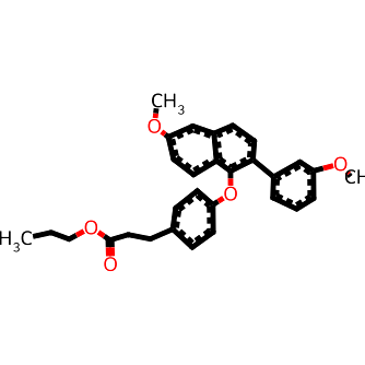 CCCOC(=O)CCc1ccc(Oc2c(-c3cccc(OC)c3)ccc3cc(OC)ccc23)cc1